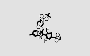 Cc1ccn2c(C[C@H]3CN(C(=O)OC(C)(C)C)CCO3)c(-c3c(F)cc(C4OCCO4)cc3F)nc2c1